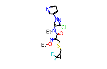 CCON=C(CSCC1CC1(F)F)C(=O)N(CC)c1cn(-c2cccnc2)nc1Cl